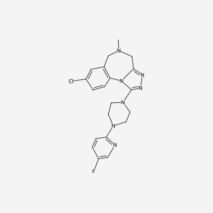 CN1Cc2cc(Cl)ccc2-n2c(nnc2N2CCN(c3ccc(F)cn3)CC2)C1